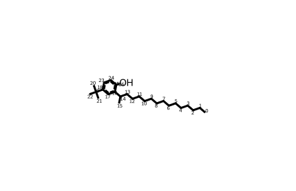 CCCCCCCCCCCCCCC(C)c1cc(C(C)(C)C)ccc1O